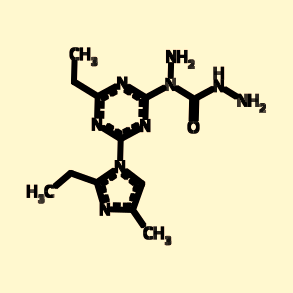 CCc1nc(N(N)C(=O)NN)nc(-n2cc(C)nc2CC)n1